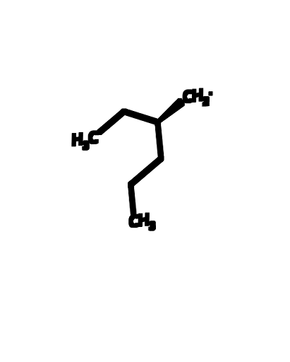 [CH2][C@H](CC)CCC